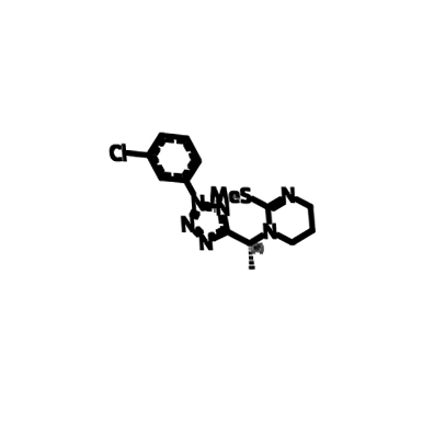 CSC1=NCCCN1[C@H](C)c1nnn(-c2cccc(Cl)c2)n1